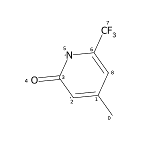 CC1=[C]C(=O)[N]C(C(F)(F)F)=C1